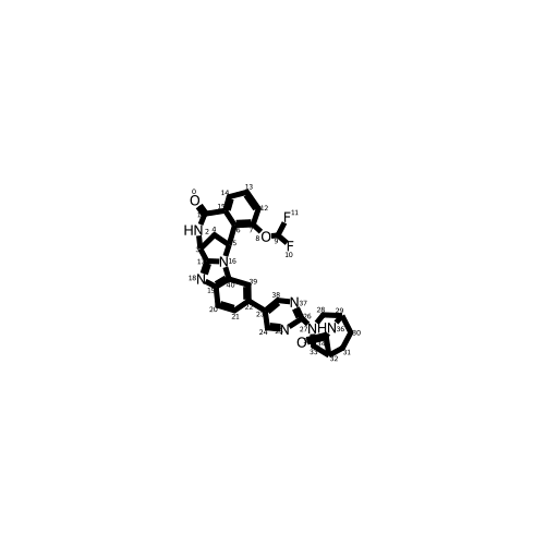 O=C1NC2CC(c3c(OC(F)F)cccc31)n1c2nc2ccc(-c3cnc(N4CC5CCC(C4)C(=O)N5)nc3)cc21